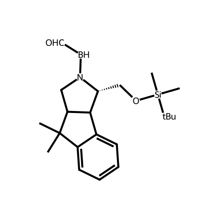 CC1(C)c2ccccc2C2C1CN(BC=O)[C@@H]2CO[Si](C)(C)C(C)(C)C